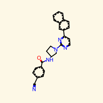 N#Cc1ccc(C(=O)NC2CCN(c3nccc(-c4ccc5ccccc5c4)n3)C2)cc1